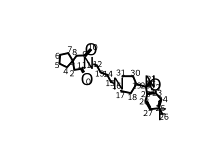 O=C1CC2(CCCC2)CC(=O)N1CCCCN1CCC(c2noc3cc(F)ccc23)CC1